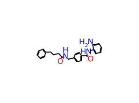 Nc1ccccc1NC(=O)c1ccc(CNC(=O)CCCc2ccccc2)cc1